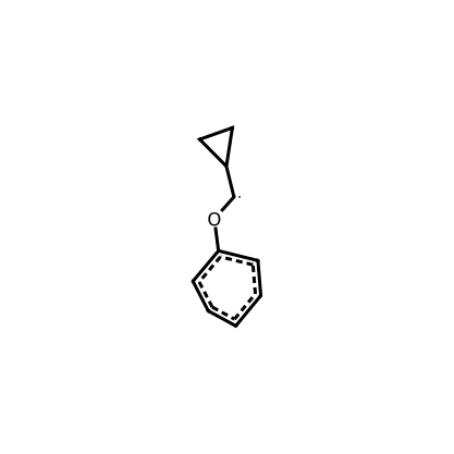 [CH](Oc1ccccc1)C1CC1